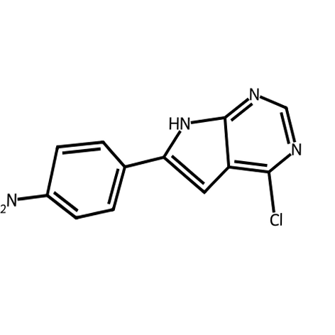 Nc1ccc(-c2cc3c(Cl)ncnc3[nH]2)cc1